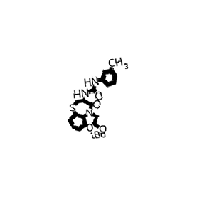 Cc1cccc(NC(=O)N[C@H]2CSc3ccccc3N(CC(=O)OC(C)(C)C)C2=O)c1